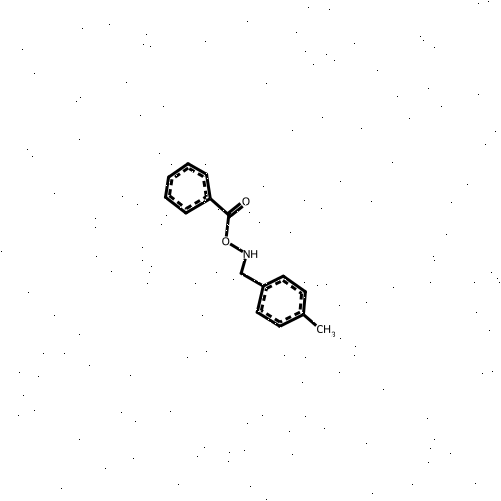 Cc1ccc(CNOC(=O)c2ccccc2)cc1